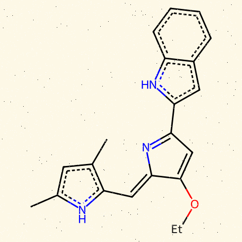 CCOC1=CC(c2cc3ccccc3[nH]2)=NC1=Cc1[nH]c(C)cc1C